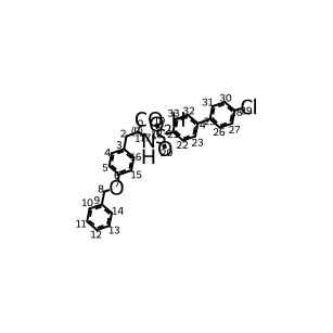 O=C(O)[C@@H](Cc1ccc(OCc2ccccc2)cc1)NS(=O)(=O)c1ccc(-c2ccc(Cl)cc2)cc1